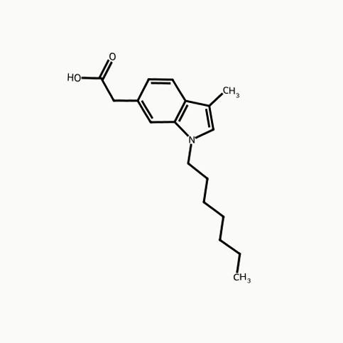 CCCCCCCn1cc(C)c2ccc(CC(=O)O)cc21